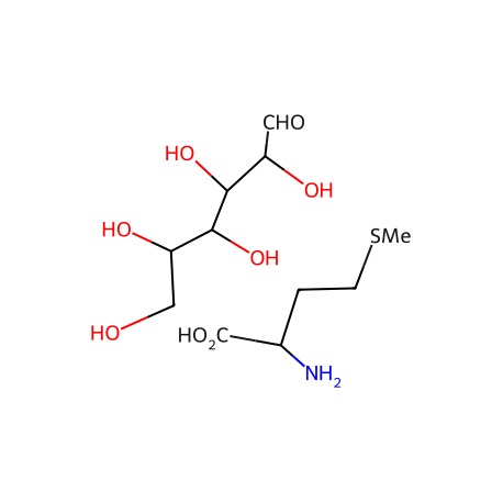 CSCCC(N)C(=O)O.O=CC(O)C(O)C(O)C(O)CO